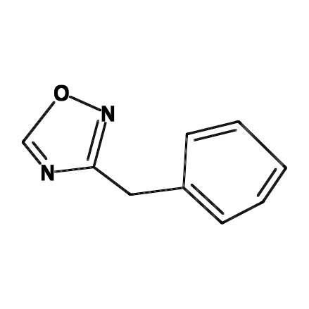 c1ccc(Cc2ncon2)cc1